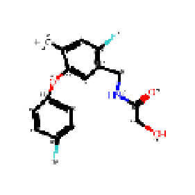 [CH2]c1cc(F)c(CNC(=O)CO)cc1Oc1ccc(F)cc1